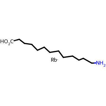 NCCCCCCCCCCCCC(=O)O.[Rb]